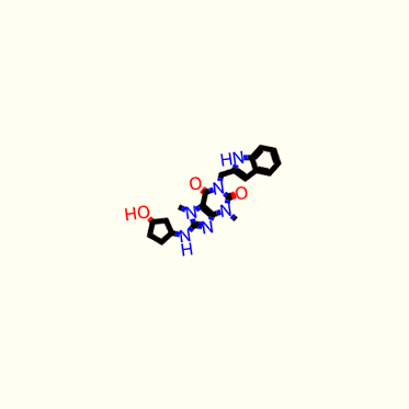 Cn1c(NC2CCC(O)C2)nc2c1c(=O)n(Cc1cc3ccccc3[nH]1)c(=O)n2C